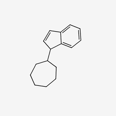 C1=CC(C2CCCCCC2)c2ccccc21